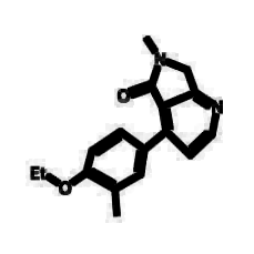 CCOc1ccc(-c2ccnc3c2C(=O)N(C)C3)cc1C